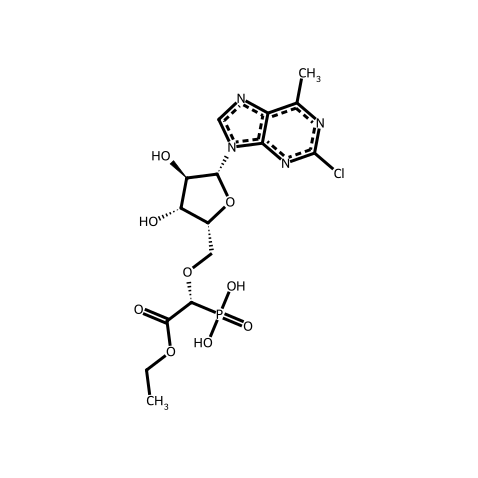 CCOC(=O)[C@H](OC[C@H]1O[C@@H](n2cnc3c(C)nc(Cl)nc32)[C@H](O)[C@H]1O)P(=O)(O)O